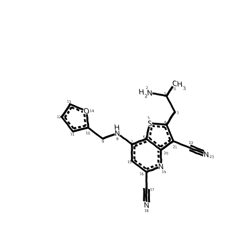 CC(N)Cc1sc2c(NCc3ccco3)cc(C#N)nc2c1C#N